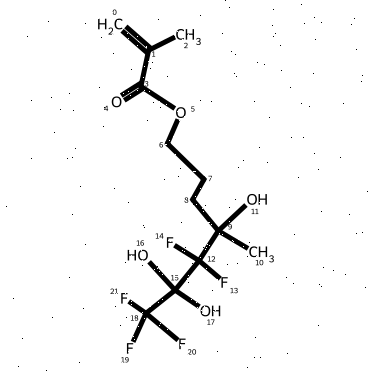 C=C(C)C(=O)OCCCC(C)(O)C(F)(F)C(O)(O)C(F)(F)F